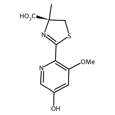 COc1cc(O)cnc1C1=N[C@@](C)(C(=O)O)CS1